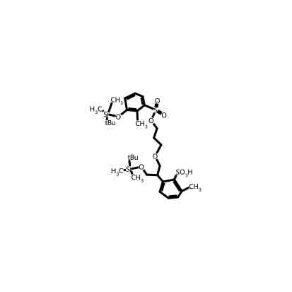 Cc1cccc(C(COCCCOS(=O)(=O)c2cccc(O[Si](C)(C)C(C)(C)C)c2C)CO[Si](C)(C)C(C)(C)C)c1S(=O)(=O)O